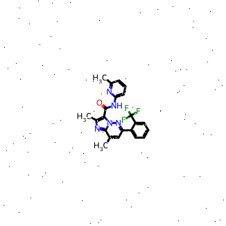 Cc1cccc(NC(=O)c2c(C)nc3c(C)cc(-c4ccccc4C(F)(F)F)nn23)n1